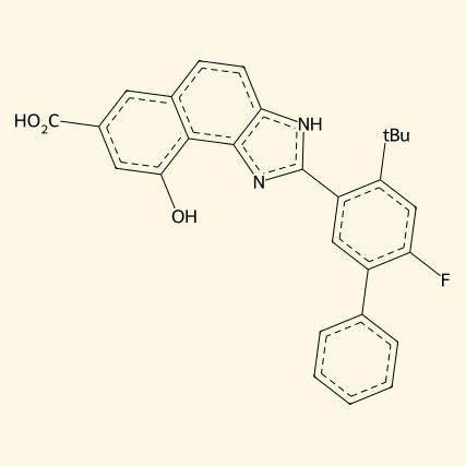 CC(C)(C)c1cc(F)c(-c2ccccc2)cc1-c1nc2c(ccc3cc(C(=O)O)cc(O)c32)[nH]1